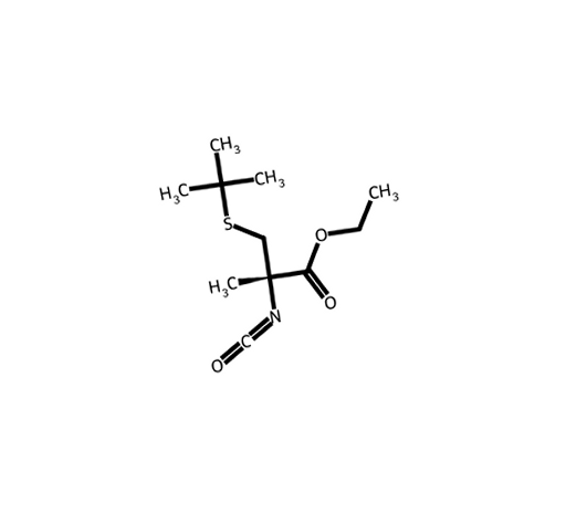 CCOC(=O)[C@@](C)(CSC(C)(C)C)N=C=O